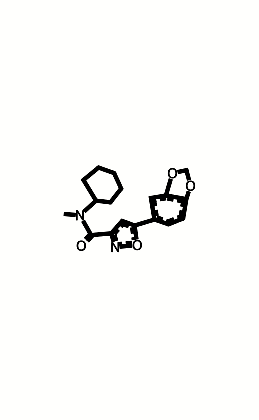 CN(C(=O)c1cc(-c2ccc3c(c2)OCO3)on1)C1CCCCC1